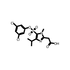 CC(C)c1nc(CC(=O)O)n(C)c1S(=O)(=O)Oc1cc(Cl)cc(Cl)c1